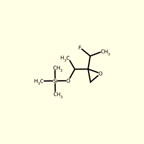 CC(F)C1(C(C)O[Si](C)(C)C)CO1